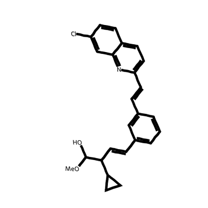 COC(O)C(C=Cc1cccc(C=Cc2ccc3ccc(Cl)cc3n2)c1)C1CC1